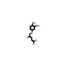 CC(=CC=C(Cl)Cl)CSc1ccc(N)c(N)c1